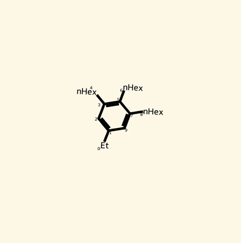 [CH2]Cc1cc(CCCCCC)c(CCCCCC)c(CCCCCC)c1